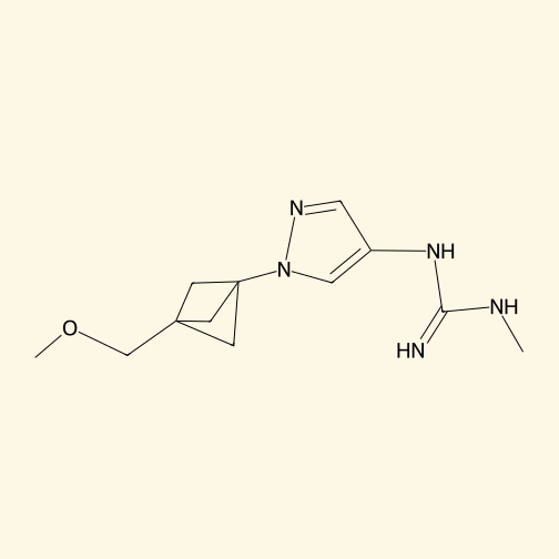 CNC(=N)Nc1cnn(C23CC(COC)(C2)C3)c1